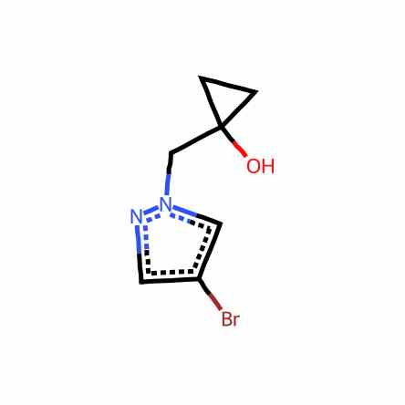 OC1(Cn2cc(Br)cn2)CC1